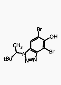 C[C@@H](n1nnc2c(Br)c(O)c(Br)cc21)C(C)(C)C